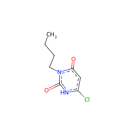 CCCCn1c(=O)cc(Cl)[nH]c1=O